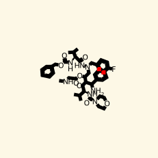 CNCC(=O)OC(CN(Cc1ccc(F)cc1)NC(=O)[C@@H](NC(=O)OCc1ccccc1)C(C)C)C(C(=O)[C@@H](NC(=O)N1CCOCC1)C(C)C)C(N)c1ccccc1